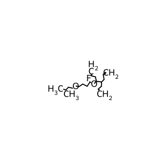 C=CCC(CC=C)C(CC=C)OC(F)CCCOCCC(C)C